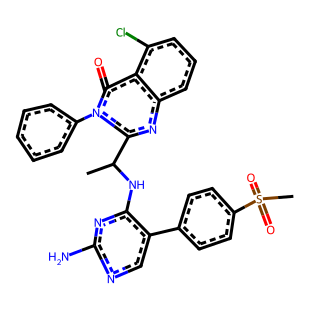 CC(Nc1nc(N)ncc1-c1ccc(S(C)(=O)=O)cc1)c1nc2cccc(Cl)c2c(=O)n1-c1ccccc1